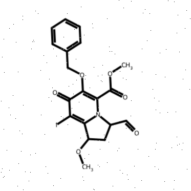 COC(=O)c1c(OCc2ccccc2)c(=O)c(I)c2n1C(C=O)CC2OC